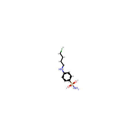 NS(=O)(=O)c1ccc(NCCCCF)cc1